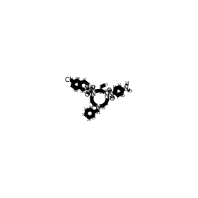 CC[C@H]1CN(S(=O)(=O)c2ccc(N(C)C)cc2)CCCN(CC2CCCCC2)CCCN(S(=O)(=O)N2CCc3cc(Cl)ccc3C2)C1